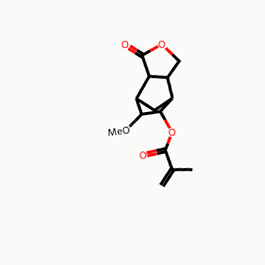 C=C(C)C(=O)OC1C2CC(C1OC)C1C(=O)OCC21